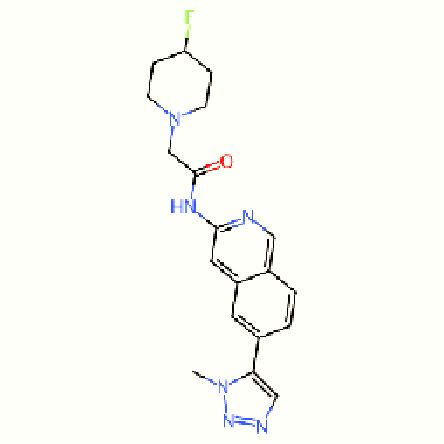 Cn1nncc1-c1ccc2cnc(NC(=O)CN3CCC(F)CC3)cc2c1